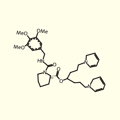 COc1cc(CNC(=O)N2CCCC[C@H]2C(=O)OC(CCCN2C=CC=CC2)CCCN2C=CC=CC2)cc(OC)c1OC